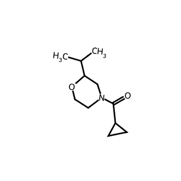 CC(C)C1CN(C(=O)C2CC2)CCO1